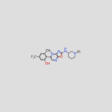 CCN1CCC[C@@H](Nc2nc3nc(-c4c(C)cc(C(F)(F)F)cc4O)cnc3o2)C1